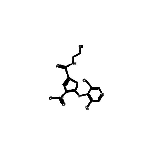 O=C(NCCO)c1cc([N+](=O)[O-])c(Sc2c(Cl)cncc2Cl)s1